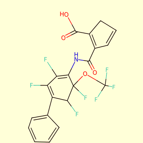 O=C(O)C1=C(C(=O)NC2=C(F)C(F)=C(c3ccccc3)C(F)C2(F)OC(F)(F)F)C=CC1